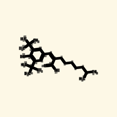 CC(C)CCCCCC(=Cc1cc(C(C)(C)C)c(O)c(C(C)(C)C)c1)C(=O)O